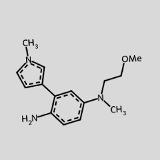 COCCN(C)c1ccc(N)c(-c2ccn(C)c2)c1